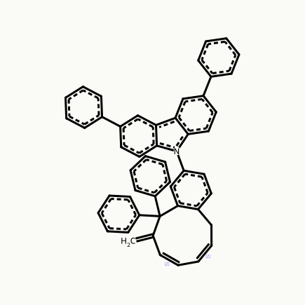 C=C1/C=C\C=C/Cc2ccc(-n3c4ccc(-c5ccccc5)cc4c4cc(-c5ccccc5)ccc43)cc2C1(c1ccccc1)c1ccccc1